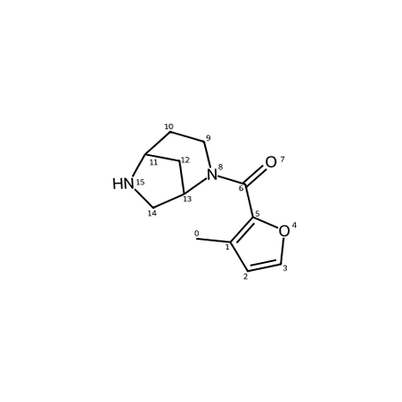 Cc1ccoc1C(=O)N1CCC2CC1CN2